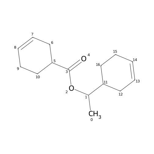 CC(OC(=O)C1CC=CCC1)C1CC=CCC1